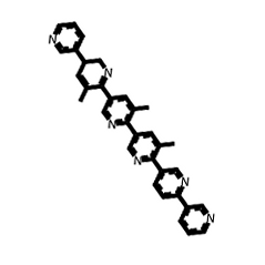 CC1=CC(c2cccnc2)CN=C1c1cnc(-c2cnc(-c3ccc(-c4cccnc4)nc3)c(C)c2)c(C)c1